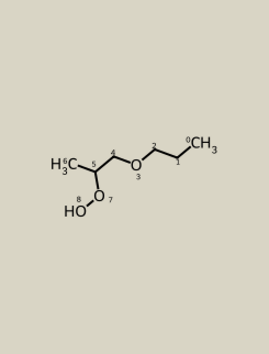 CCCOCC(C)OO